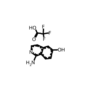 Nc1nccc2cc(O)ccc12.O=C(O)C(F)(F)F